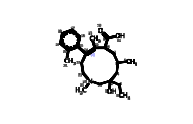 CCC1(O)CC(C)CC(C(=O)O)/C(C)=C(/c2ccccc2C)CCN(C)C1